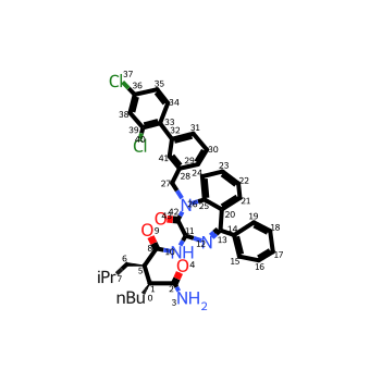 CCCC[C@H](C(N)=O)[C@@H](CC(C)C)C(=O)NC1N=C(c2ccccc2)c2ccccc2N(Cc2cccc(-c3ccc(Cl)cc3Cl)c2)C1=O